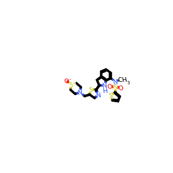 CN(c1cccc2c1NC(C1=NCC(CN3CC[S+]([O-])CC3)S1)C2)S(=O)(=O)c1cccs1